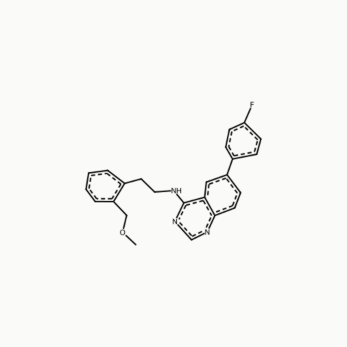 COCc1ccccc1CCNc1ncnc2ccc(-c3ccc(F)cc3)cc12